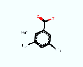 Cc1cc(C)cc(C(=O)[O-])c1.[Hg+]